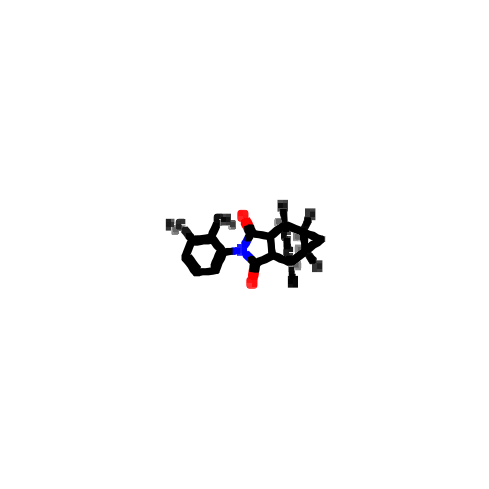 Cc1c(N2C(=O)C3C(C2=O)[C@H]2CC[C@H]3[C@@H]3C[C@@H]32)cccc1C(F)(F)F